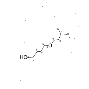 CC(C)CCOCCCCO